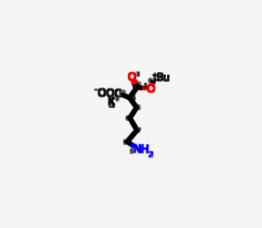 CC(C)(C)OC(=O)C(CCCCN)C(=O)[O-].[K+]